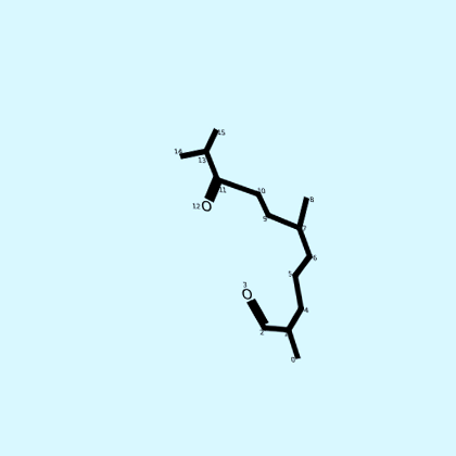 CC(C=O)CCCC(C)CCC(=O)C(C)C